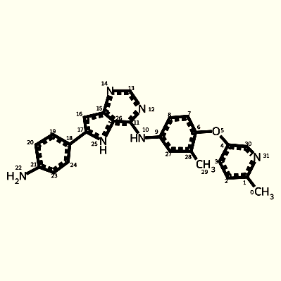 Cc1ccc(Oc2ccc(Nc3ncnc4cc(-c5ccc(N)cc5)[nH]c34)cc2C)cn1